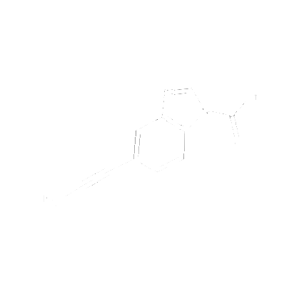 CCC(=O)n1ccc2cc(C#CC(=O)O)ccc21